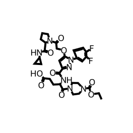 CCOC(=O)N1CCN(C(=O)C(CCC(=O)O)NC(=O)c2cc(OCC(=O)N3CCCC3C(=O)NC3CC3)n(-c3ccc(F)c(F)c3)n2)CC1